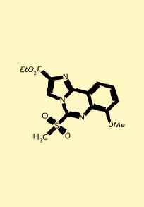 CCOC(=O)c1cn2c(S(C)(=O)=O)nc3c(OC)cccc3c2n1